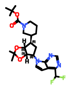 CC(C)(C)OC(=O)N1CCCC([C@H]2C[C@@H](n3ccc4c(C(F)F)ncnc43)[C@@H]3OC(C)(C)O[C@@H]32)C1